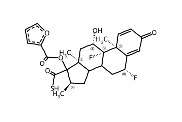 C[C@@H]1CC2C3C[C@@H](F)C4=CC(=O)C=C[C@]4(C)[C@]3(F)[C@@H](O)C[C@]2(C)C1(OC(=O)c1ccco1)C(=O)S